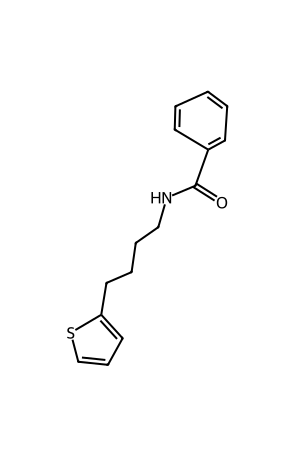 O=C(NCCCCc1cccs1)c1ccccc1